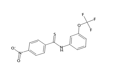 O=[N+]([O-])c1ccc(C(=S)Nc2cccc(OC(F)(F)F)c2)cc1